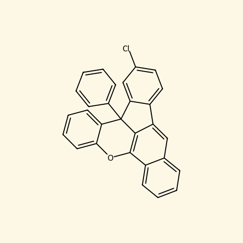 Clc1ccc2c(c1)C1(c3ccccc3)c3ccccc3Oc3c1c-2cc1ccccc31